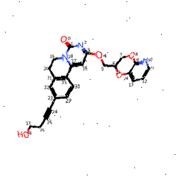 O=c1nc(OCC2COc3ncccc3O2)cc2n1CCc1cc(C#CCCO)ccc1-2